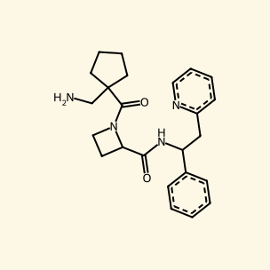 NCC1(C(=O)N2CCC2C(=O)NC(Cc2ccccn2)c2ccccc2)CCCC1